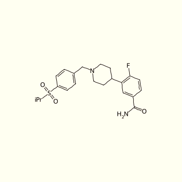 CC(C)S(=O)(=O)c1ccc(CN2CCC(c3cc(C(N)=O)ccc3F)CC2)cc1